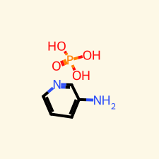 Nc1cccnc1.O=P(O)(O)O